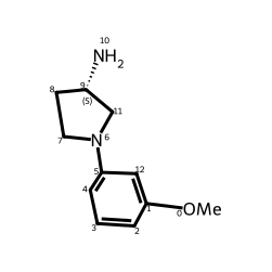 COc1cccc(N2CC[C@H](N)C2)c1